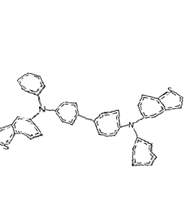 c1ccc(N(c2ccc(-c3ccc(N(c4ccccc4)c4ccc5sccc5c4)cc3)cc2)c2ccc3sccc3c2)cc1